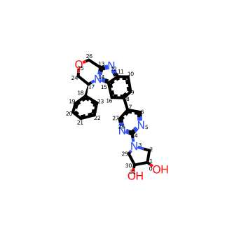 OC1CN(c2ncc(-c3ccc4nc5n(c4c3)[C@@H](c3ccccc3)COC5)cn2)CC1O